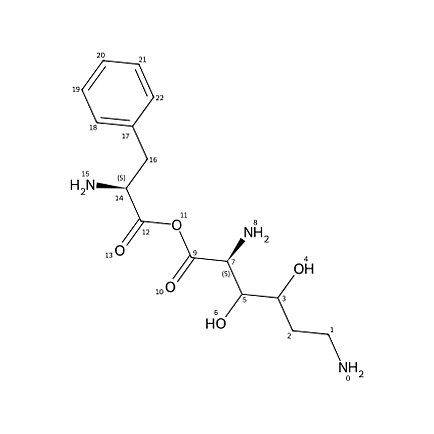 NCCC(O)C(O)[C@H](N)C(=O)OC(=O)[C@@H](N)Cc1ccccc1